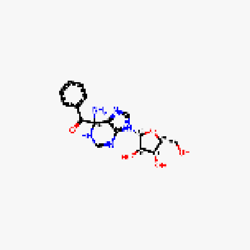 N[C@]1(C(=O)c2ccccc2)NC=Nc2c1ncn2[C@@H]1O[C@H](CO)[C@@H](O)[C@H]1O